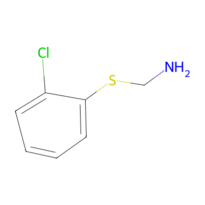 NCSc1ccccc1Cl